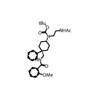 COc1ccccc1C(=O)NC[C@]1(c2ccccc2)CC[C@H](N(CCNC(C)=O)C(=O)OC(C)(C)C)CC1